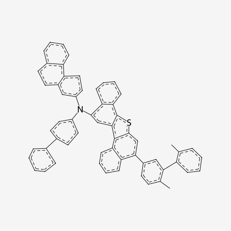 Cc1ccccc1-c1cc(-c2cc3sc4c5ccccc5c(N(c5ccc(-c6ccccc6)cc5)c5ccc6c(ccc7ccccc76)c5)cc4c3c3ccccc23)ccc1C